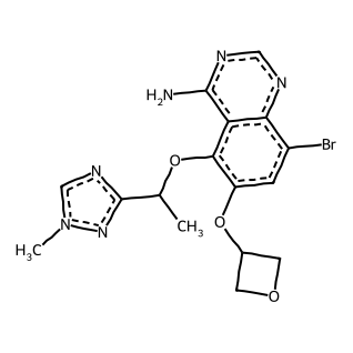 CC(Oc1c(OC2COC2)cc(Br)c2ncnc(N)c12)c1ncn(C)n1